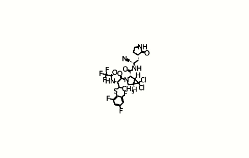 CC(Sc1c(F)cc(F)cc1F)[C@H](NC(=O)C(F)(F)F)C(=O)N1C[C@H]2[C@@H]([C@H]1C(=O)N[C@H](C#N)C[C@@H]1CCNC1=O)C2(Cl)Cl